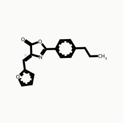 CCCc1ccc(C2=N/C(=C\c3ccco3)C(=O)O2)cc1